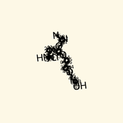 Cc1c(COc2cc(OCc3cncc(C#N)c3)c(CN3CCCC(c4ncc[nH]4)C3)cc2Cl)cccc1-c1cccc(OCCCN2CC[C@@H](O)C2)c1C